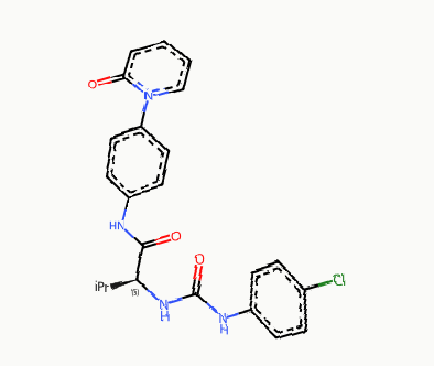 CC(C)[C@H](NC(=O)Nc1ccc(Cl)cc1)C(=O)Nc1ccc(-n2ccccc2=O)cc1